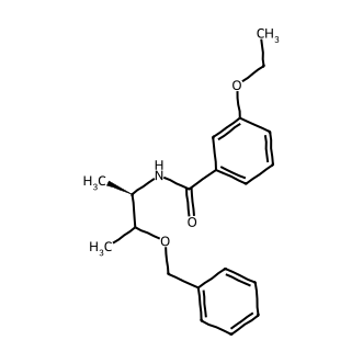 CCOc1cccc(C(=O)N[C@H](C)C(C)OCc2ccccc2)c1